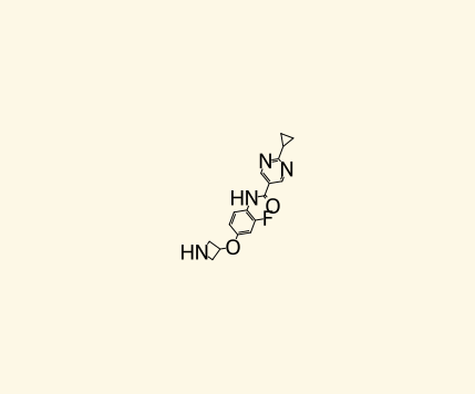 O=C(Nc1ccc(OC2CNC2)cc1F)c1cnc(C2CC2)nc1